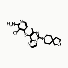 Cc1nc(N2CCC3(CCOC3)CC2)n2ccnc2c1Sc1ccnc(N)c1Cl